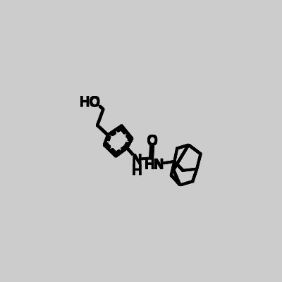 O=C(Nc1ccc(CCO)cc1)NC12CC3CC(CC(C3)C1)C2